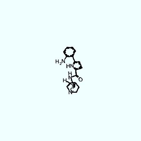 Nc1ccccc1-c1ccc(C(=O)N[C@H]2CN3CCC2CC3)[nH]1